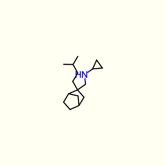 CC(C)CCC1(CNC2CC2)CC2CCC1C2